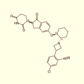 N#Cc1cc(Cl)ccc1C1CN([C@H]2CCCC[C@@H]2Oc2ccc3c(c2)CN([C@@H]2CCC(=O)NC2=O)C3=O)C1